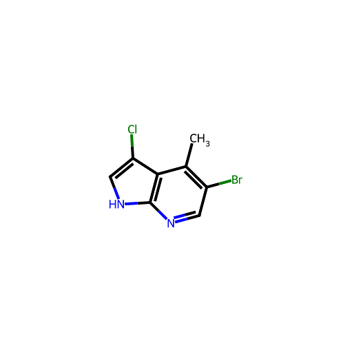 Cc1c(Br)cnc2[nH]cc(Cl)c12